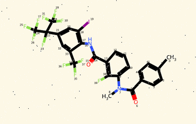 Cc1ccc(C(=O)N(C)c2cccc(C(=O)Nc3c(I)cc(C(F)(C(F)(F)F)C(F)(F)F)cc3C(F)(F)F)c2F)cc1